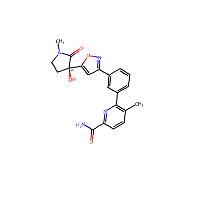 Cc1ccc(C(N)=O)nc1-c1cccc(-c2cc([C@]3(O)CCN(C)C3=O)on2)c1